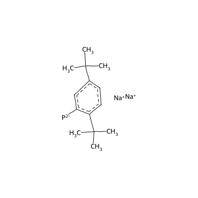 CC(C)(C)c1ccc(C(C)(C)C)c([P-2])c1.[Na+].[Na+]